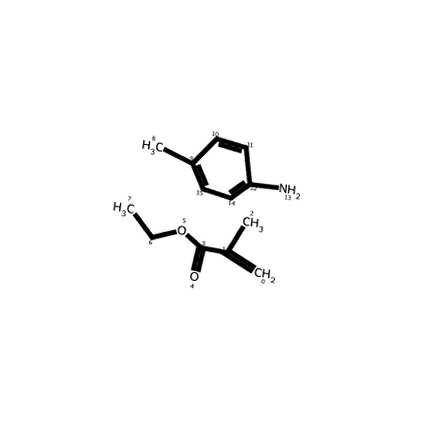 C=C(C)C(=O)OCC.Cc1ccc(N)cc1